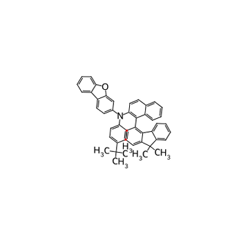 CC(C)(C)c1ccc(N(c2ccc3c(c2)oc2ccccc23)c2ccc3ccccc3c2-c2cccc3c2-c2ccccc2C3(C)C)cc1